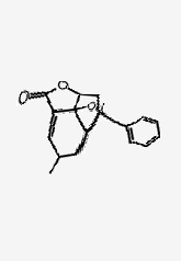 CC1C=C2C(=O)OC3CC(c4ccccc4)C(C1)C23O